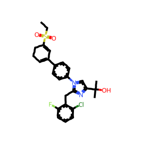 CCS(=O)(=O)C1=CC(c2ccc(-n3cc(C(C)(C)O)nc3Cc3c(F)cccc3Cl)cc2)=CCC1